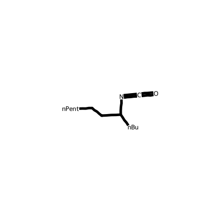 CCCCCCCC(CCCC)N=C=O